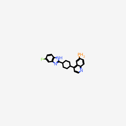 Fc1ccc2[nH]c(C3CCC(c4ccnc5ccc(P)cc45)CC3)nc2c1